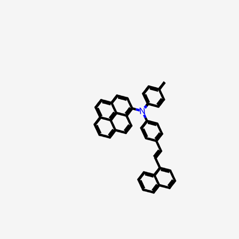 Cc1ccc(N(c2ccc(C=Cc3cccc4ccccc34)cc2)c2ccc3ccc4cccc5ccc2c3c45)cc1